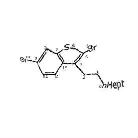 CCCCCCCCCc1c(Br)sc2cc(Br)ccc12